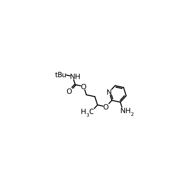 CC(CCOC(=O)NC(C)(C)C)Oc1ncccc1N